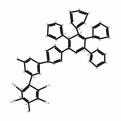 Cc1cc(-c2ccc(-c3cc(-c4ccccc4)c(-c4ccccc4)c(-c4ccccc4)c3-c3ccccc3)cc2)cc(-c2c(F)c(F)c(C)c(F)c2F)c1